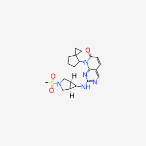 CS(=O)(=O)N1C[C@@H]2C(Nc3ncc4ccc(=O)n([C@H]5CCCC56CC6)c4n3)[C@@H]2C1